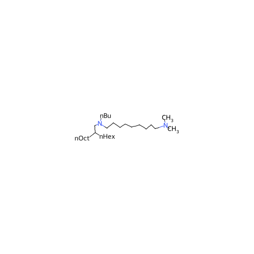 CCCCCCCCC(CCCCCC)CN(CCCC)CCCCCCCCCN(C)C